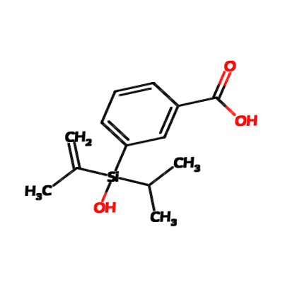 C=C(C)[Si](O)(c1cccc(C(=O)O)c1)C(C)C